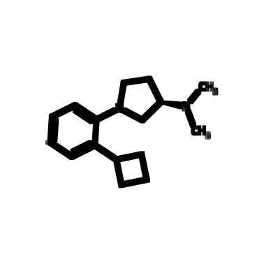 CN(C)[C@@H]1CCN(c2cc[c]cc2C2CCC2)C1